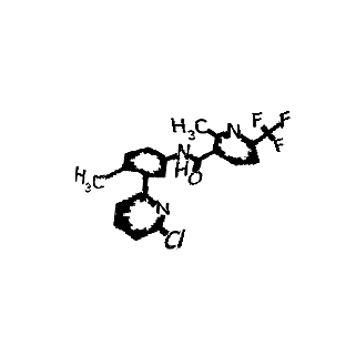 Cc1ccc(NC(=O)c2ccc(C(F)(F)F)nc2C)cc1-c1cccc(Cl)n1